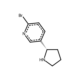 Brc1ccc([C@@H]2CCCN2)cn1